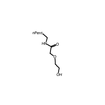 CCCCCCNC(=O)COCCO